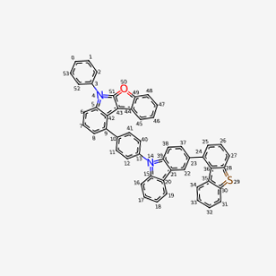 c1ccc(-n2c3cccc(-c4ccc(-n5c6ccccc6c6cc(-c7cccc8sc9ccccc9c78)ccc65)cc4)c3c3c4ccccc4oc32)cc1